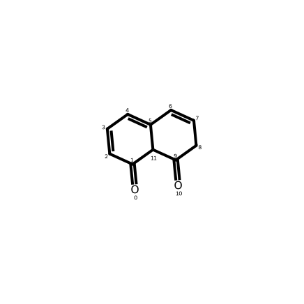 O=C1C=CC=C2C=CCC(=O)C12